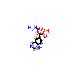 NC(=O)OC(C(=O)O)c1ccc2c(c1)CN=CN2